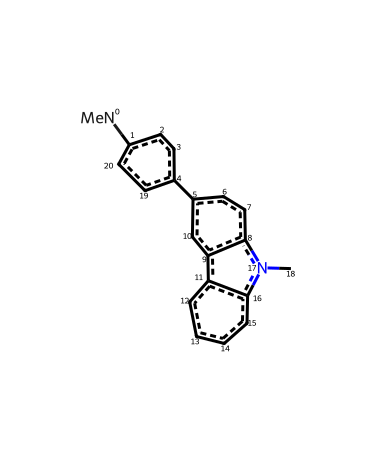 CNc1ccc(-c2ccc3c(c2)c2ccccc2n3C)cc1